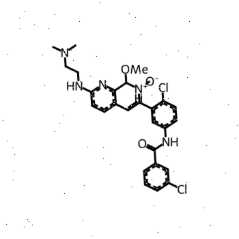 COC1c2nc(NCCN(C)C)ccc2C=C(c2cc(NC(=O)c3cccc(Cl)c3)ccc2Cl)[NH+]1[O-]